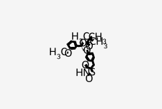 COc1cccc([C@@H](COc2ccc(CC3SC(=O)NC3=O)cc2)OC(=O)C(C)(C)C)c1